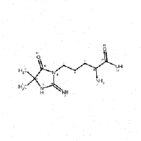 CC1(C)NC(=N)N(CCCC(N)C(=O)O)C1=O